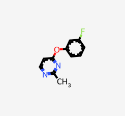 Cc1nccc(Oc2cccc(F)c2)n1